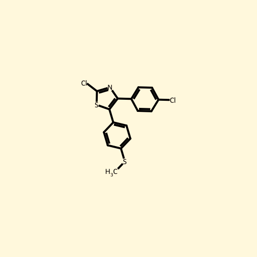 CSc1ccc(-c2sc(Cl)nc2-c2ccc(Cl)cc2)cc1